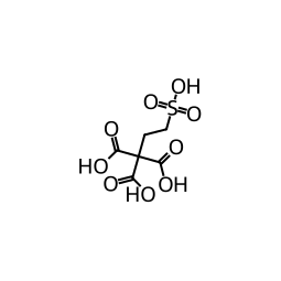 O=C(O)C(CCS(=O)(=O)O)(C(=O)O)C(=O)O